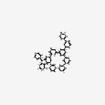 c1ccc(-c2cccc(-c3cc(-c4cccc(-c5ccccc5)c4)cc(-c4cccc(-c5nc(-c6ccccc6)c6c7ccccc7n(-c7ccccc7)c6n5)c4)c3)c2)cc1